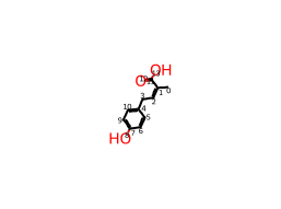 CC(=CCc1ccc(O)cc1)C(=O)O